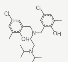 Cc1cc(Cl)cc(CN(CCN(C(C)C)C(C)C)Cc2cc(Cl)cc(C)c2O)c1O